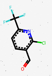 O=Cc1ccc(C(F)(F)F)nc1Cl